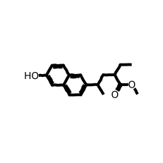 CCC(CC(C)c1ccc2cc(O)ccc2c1)C(=O)OC